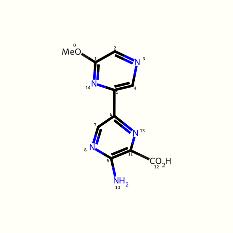 COc1cncc(-c2cnc(N)c(C(=O)O)n2)n1